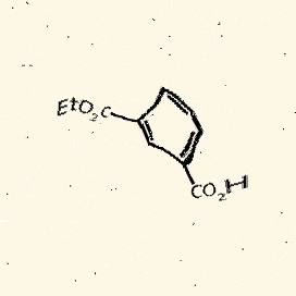 CCOC(=O)c1cccc(C(=O)O)c1